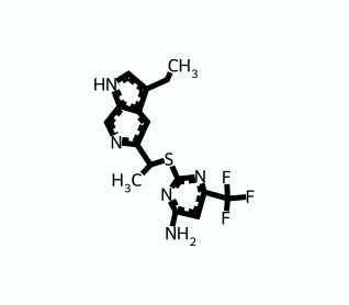 CCc1c[nH]c2cnc(C(C)Sc3nc(N)cc(C(F)(F)F)n3)cc12